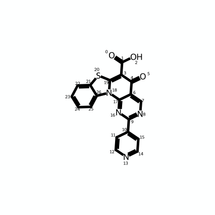 O=C(O)c1c(=O)c2cnc(-c3ccncc3)nc2n2c1sc1ccccc12